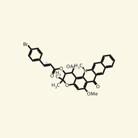 COc1cc2c(c3c1c(=O)c1cc4ccccc4cc1n3C)C(OC(C)=O)C(OC(=O)/C=C/c1ccc(Br)cc1)C(C)(C)O2